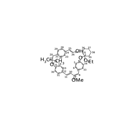 CCOC1(Oc2ccc(C=C(C=Cc3ccc(OC(C)(C)Cc4ccc(C=CO)cc4)cc3)OC)cc2)CCCCC1